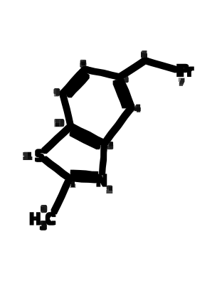 Cc1nc2cc(CC(C)C)ccc2s1